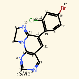 CSc1ncc2c(n1)N1CCN=C1C(c1ccc(Br)cc1Cl)=C2